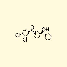 O=C(c1ccc(Cl)c(Cl)c1)N1CCCC([C@@H](O)c2ccccc2)C1